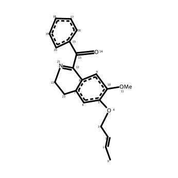 C/C=C/COc1cc2c(cc1OC)C(C(=O)c1ccccc1)=NCC2